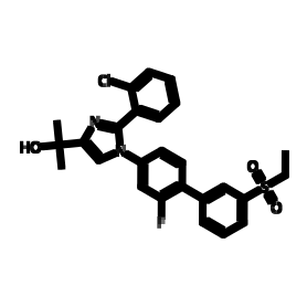 CCS(=O)(=O)c1cccc(-c2ccc(-n3cc(C(C)(C)O)nc3-c3ccccc3Cl)cc2F)c1